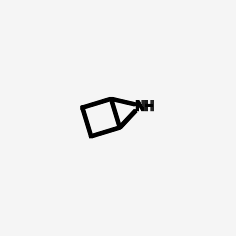 C1CC2NC12